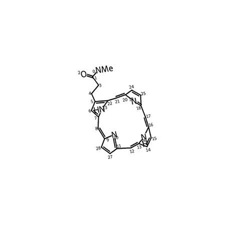 CNC(=O)CCc1cc2cc3nc(cc4ccc(cc5nc(cc1[nH]2)C=C5)[nH]4)C=C3